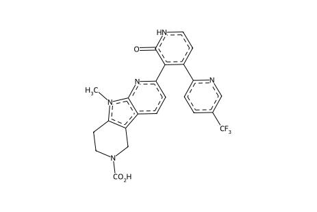 Cn1c2c(c3ccc(-c4c(-c5ccc(C(F)(F)F)cn5)cc[nH]c4=O)nc31)CN(C(=O)O)CC2